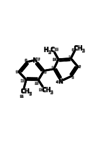 Cc1ccnc(-c2nccc(C)c2C)c1C